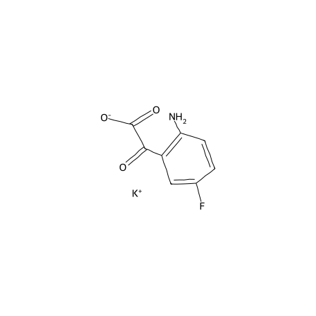 Nc1ccc(F)cc1C(=O)C(=O)[O-].[K+]